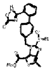 CC[S+]([O-])c1nc2c(C)sc(C(=O)OC)c2n1Cc1ccc(-c2ccccc2-c2nc(=O)o[nH]2)cc1